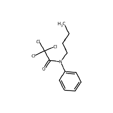 CCCCN(C(=O)C(Cl)(Cl)Cl)c1ccccc1